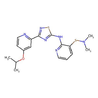 CC(C)Oc1ccnc(-c2nsc(Nc3ncccc3SN(C)C)n2)c1